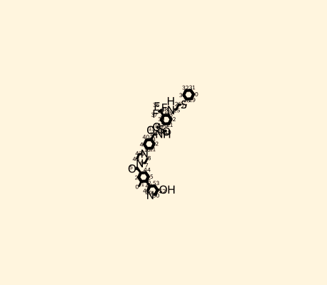 Cc1cc(C(=O)N2CCN(c3ccc(C(=O)NS(=O)(=O)c4ccc(NCCSc5ccccc5)c(C(F)(F)F)c4)cc3)CC2)ccc1-c1cncc(O)c1